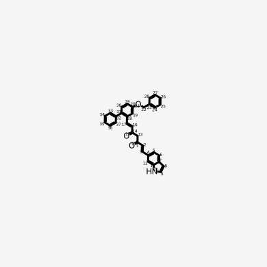 O=C(C=Cc1ccc2cc[nH]c2c1)CC(=O)C=Cc1cc(OCc2ccccc2)ccc1-c1ccccc1